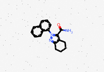 NC(=O)c1c2c(nn1-c1cccc3ccccc13)CC[C]C2